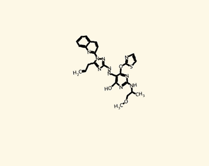 C=CCc1nc(N=Nc2c(O)nc(NC(C)COC)nc2Oc2nccs2)nn1-c1ccc2ccccc2n1